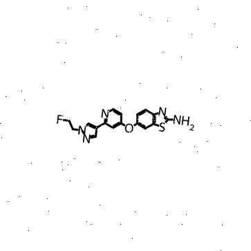 Nc1nc2ccc(Oc3ccnc(-c4cnn(CCF)c4)c3)cc2s1